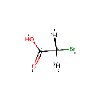 [3H]C([3H])(Br)C(=O)O